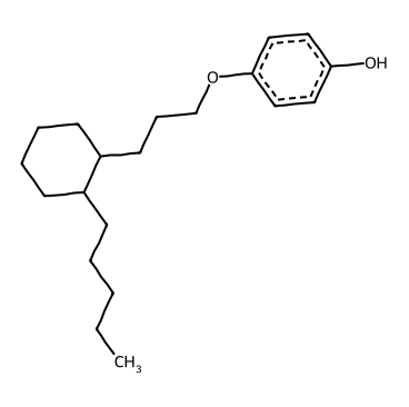 CCCCCC1CCCCC1CCCOc1ccc(O)cc1